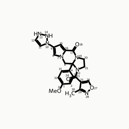 COc1ccc(C23Cn4cc(N5C=CNN5)cc4C(=O)N2CCN3C(=O)c2conc2C)cc1